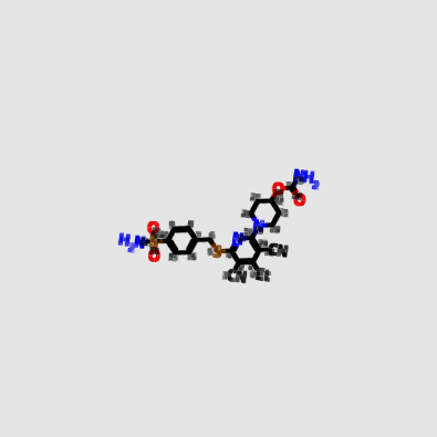 CCc1c(C#N)c(SCc2ccc(S(N)(=O)=O)cc2)nc(N2CCC(OC(N)=O)CC2)c1C#N